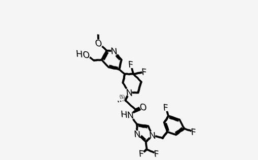 COc1ncc(C2CN([C@@H](C)C(=O)Nc3cn(Cc4cc(F)cc(F)c4)c(C(F)F)n3)CCC2(F)F)cc1CO